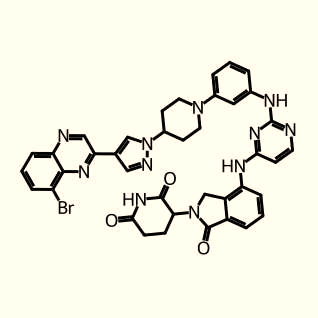 O=C1CCC(N2Cc3c(Nc4ccnc(Nc5cccc(N6CCC(n7cc(-c8cnc9cccc(Br)c9n8)cn7)CC6)c5)n4)cccc3C2=O)C(=O)N1